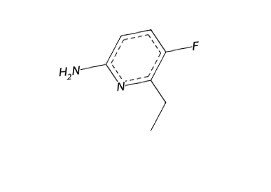 CCc1nc(N)ccc1F